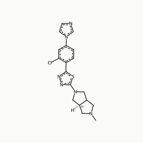 CN1CC2CN(c3nnc(-c4ccc(-n5ccnc5)cc4Cl)s3)C[C@@H]2C1